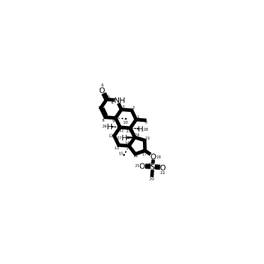 CC1CC2NC(=O)C=C[C@]2(C)[C@@H]2CC[C@]3(C)CC(OS(C)(=O)=O)C[C@H]3[C@H]12